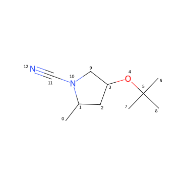 CC1CC(OC(C)(C)C)CN1C#N